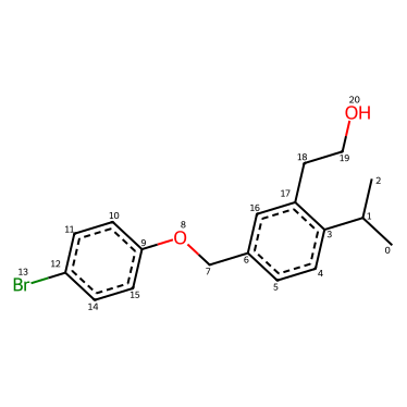 CC(C)c1ccc(COc2ccc(Br)cc2)cc1CCO